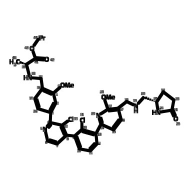 COc1cc(-c2nccc(-c3cccc(-c4ccc(CNC[C@@H]5CCC(=O)N5)c(OC)n4)c3Cl)c2Cl)ccc1CN[C@H](C)C(=O)OC(C)C